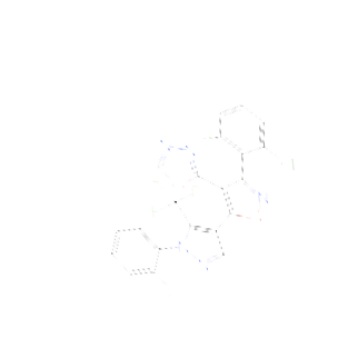 Fc1cccc(Cl)c1-c1noc(-c2cnn(-c3ccccc3Cl)c2C(F)(F)F)c1-c1nnco1